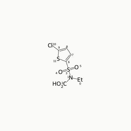 CCN(C(=O)O)S(=O)(=O)c1ccc(Cl)s1